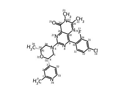 Cc1cc([C@H]2CN(c3nc(-c4ccc(Cl)cc4F)c4nc(C)n(C)c(=O)c4n3)C[C@@H](C)O2)ccn1